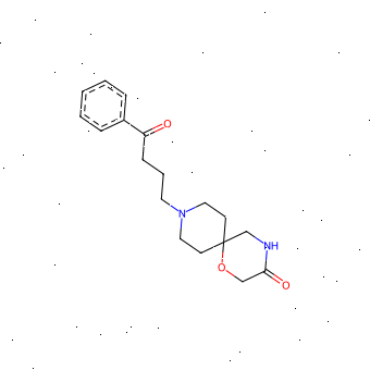 O=C1COC2(CCN(CCCC(=O)c3ccccc3)CC2)CN1